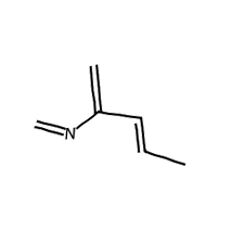 C=NC(=C)/C=C/C